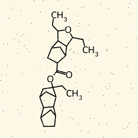 CCC1OC(CC)C2C3CC(CC3C(=O)OC3(CC)CC4CC3C3C5CCC(C5)C43)C12